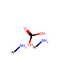 O=C(O)O.[NH2][Al].[NH2][Al]